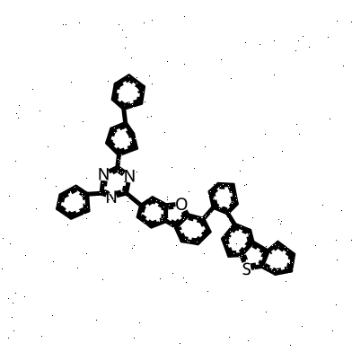 c1ccc(-c2ccc(-c3nc(-c4ccccc4)nc(-c4ccc5c(c4)oc4c(-c6ccccc6-c6ccc7sc8ccccc8c7c6)cccc45)n3)cc2)cc1